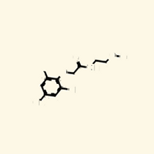 CCOCCNC(=O)COc1c(Cl)cc(Cl)cc1Cl